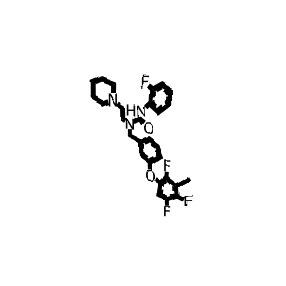 Cc1c(F)c(F)cc(Oc2cccc(CN(CCN3CCCCC3)C(=O)Nc3ccccc3F)c2)c1F